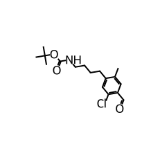 Cc1cc(C=O)c(Cl)cc1CCCCNC(=O)OC(C)(C)C